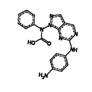 Nc1ccc(Nc2ncc3cnn(N(C(=O)O)c4ccccc4)c3n2)cc1